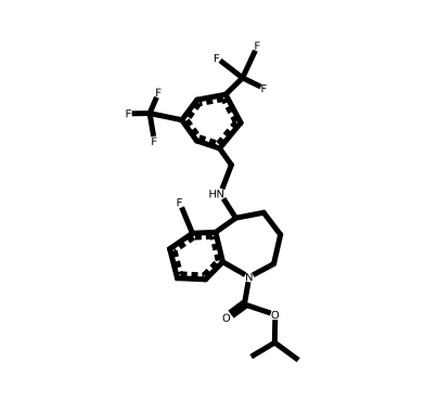 CC(C)OC(=O)N1CCCC(NCc2cc(C(F)(F)F)cc(C(F)(F)F)c2)c2c(F)cccc21